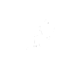 CC(C)Nc1cccc2c1OCCO2